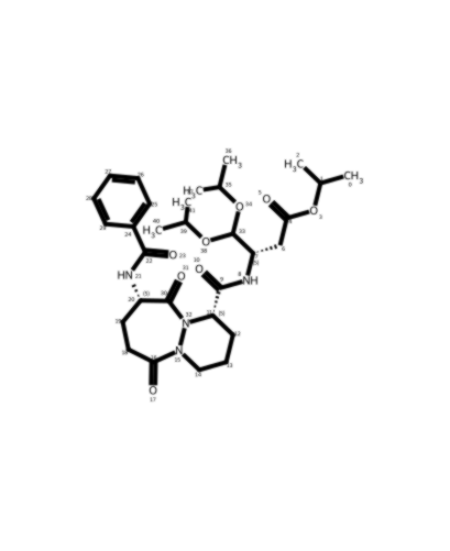 CC(C)OC(=O)C[C@H](NC(=O)[C@@H]1CCCN2C(=O)CC[C@H](NC(=O)c3ccccc3)C(=O)N12)C(OC(C)C)OC(C)C